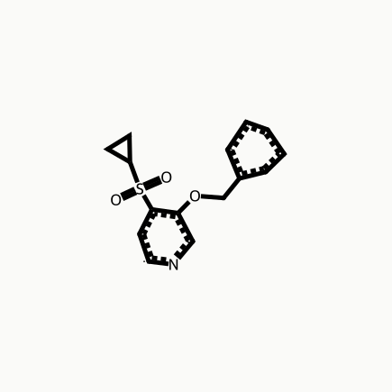 O=S(=O)(c1c[c]ncc1OCc1ccccc1)C1CC1